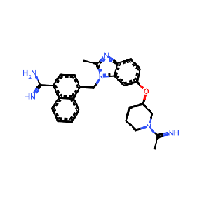 CC(=N)N1CCCC(Oc2ccc3nc(C)n(Cc4ccc(C(=N)N)c5ccccc45)c3c2)C1